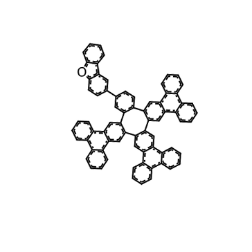 c1ccc2c(c1)oc1ccc(-c3ccc4c(c3)-c3cc5c6ccccc6c6ccccc6c5cc3-c3cc5c6ccccc6c6ccccc6c5cc3-c3cc5c6ccccc6c6ccccc6c5cc3-4)cc12